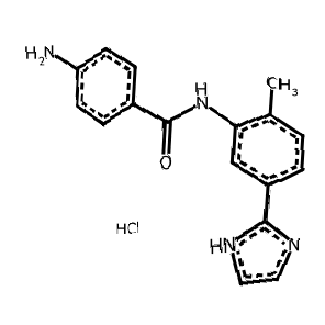 Cc1ccc(-c2ncc[nH]2)cc1NC(=O)c1ccc(N)cc1.Cl